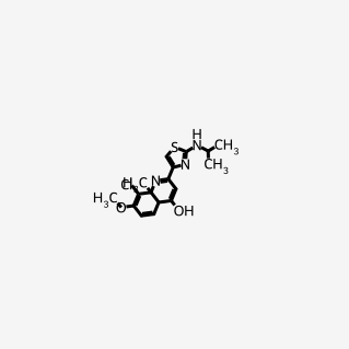 COC1=C(Cl)C2(C)N=C(c3csc(NC(C)C)n3)C=C(O)C2C=C1